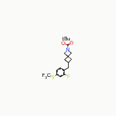 CC(C)(C)OC(=O)N1CC2(CC(Cc3ccc(SC(F)(F)F)cc3F)C2)C1